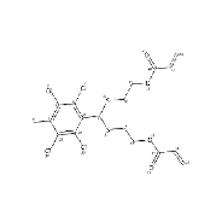 [CH2]c1c(Cl)c(Cl)c([C](SCCOC(=O)C=C)SCCOC(=O)C=C)c(Cl)c1Cl